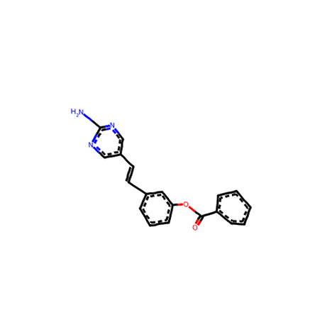 Nc1ncc(C=Cc2cccc(OC(=O)c3ccccc3)c2)cn1